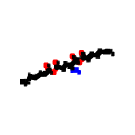 C/C=C/C=C/C(=O)OC(=O)CC[C@H](N)C(=O)OC(=O)/C=C/C=C/C